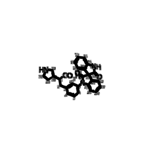 O=C(O)[C@@H](Cc1cccc(N2C(=O)C3(C(=O)Nc4ccccc43)c3ccccc32)c1)[C@H]1CCNC1